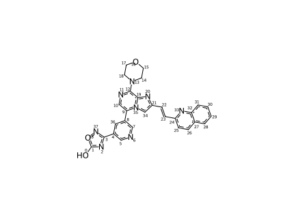 Oc1nc(-c2cncc(-c3cnc(N4CCOCC4)c4nc(C=Cc5ccc6ccccc6n5)cn34)c2)no1